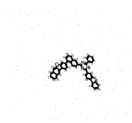 c1ccc(-c2nc(-c3ccc4c(-c5ccc6c(c5)oc5cc7ccccc7cc56)cccc4c3)nc(-c3ccc4c(c3)sc3ccccc34)n2)cc1